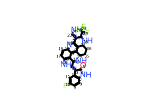 N=C(/C=C1\C(=O)Nc2ccc(F)cc21)c1c(N)ccc2nc(/C(=C/N)C(=N)C(F)(F)F)c3c(c12)CCCC3